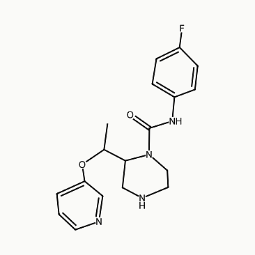 CC(Oc1cccnc1)C1CNCCN1C(=O)Nc1ccc(F)cc1